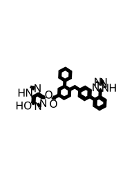 O=C(Oc1nnc(O)c2[nH]cnc12)C1CCC(Cc2ccc(-c3ccccc3-c3nnn[nH]3)cc2)C(C2CCCCC2)C1